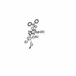 C#COCC[C@H]1[C@@H](OC(C)=O)[C@H](n2cnc3c(OC(=O)N(c4ccccc4)c4ccccc4)nc(NC(C)=O)nc32)O[C@@H]1CC